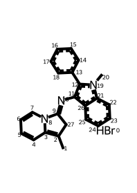 Br.CC1=C2C=CC=CN2C(=Nc2c(-c3ccccc3)n(C)c3ccccc23)C1